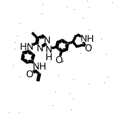 C=CC(=O)Nc1cccc(Nc2nc(Nc3ccc(C4CCNC(=O)C4)cc3OC)ncc2C)c1